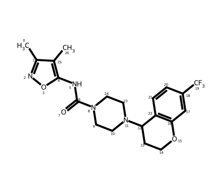 Cc1noc(NC(=O)N2CCN(C3CCOc4cc(C(F)(F)F)ccc43)CC2)c1C